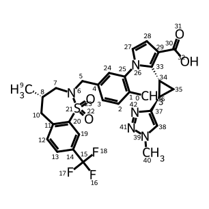 Cc1ccc(CN2C[C@@H](C)Cc3ccc(C(F)(F)F)cc3S2(=O)=O)cc1-n1ccc(C(=O)O)c1[C@@H]1C[C@H]1c1cn(C)nn1